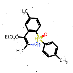 CCOC(=O)C1=C(C)N[SH](=O)(c2ccc(C)cc2)c2ccc(C)cc21